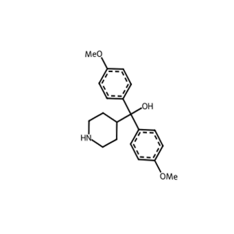 COc1ccc(C(O)(c2ccc(OC)cc2)C2CCNCC2)cc1